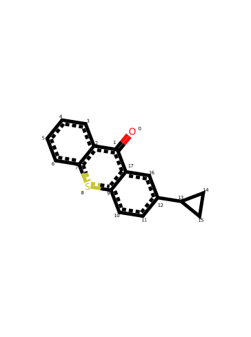 O=c1c2ccccc2sc2ccc(C3CC3)cc12